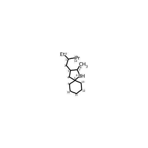 CCC(CC1CC2(BC1C)CCCCC2)C(C)C